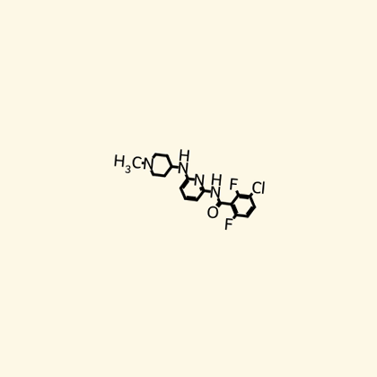 CN1CCC(Nc2cccc(NC(=O)c3c(F)ccc(Cl)c3F)n2)CC1